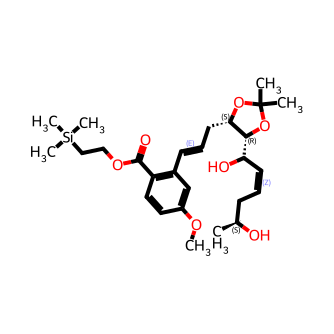 COc1ccc(C(=O)OCC[Si](C)(C)C)c(/C=C/C[C@@H]2OC(C)(C)O[C@@H]2C(O)/C=C\C[C@H](C)O)c1